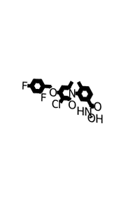 Cc1ccc(C(=O)NO)cc1-n1c(C)cc(OCc2ccc(F)cc2F)c(Cl)c1=O